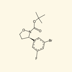 CC(C)(C)OC(=O)N1OCC[C@@H]1c1cc(F)cc(Br)c1